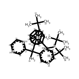 CC(C)(C)P(C[C]12[CH]3[C]4(C(C)(C)C)[CH]5[C]1(C(P)(c1cnccn1)c1cnccn1)[Fe]35241678[CH]2[CH]1[CH]6[CH]7[CH]28)C(C)(C)C